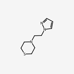 c1cnn(CCN2CCSCC2)c1